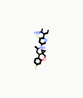 C=C(CC1c2ccc(F)cc2OCC12CC2)Nc1cnc(/C(=C/C)C(C)=N)c(F)c1